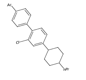 CCCC1CCC(c2ccc(-c3ccc(C(C)=O)cc3)c(Cl)c2)CC1